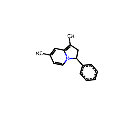 N#CC1=CC2=C(C#N)CC(c3ccccc3)N2C=C1